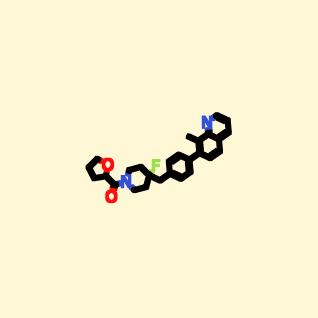 Cc1c(-c2ccc(CC3(F)CCN(C(=O)C4CCCO4)CC3)cc2)ccc2cccnc12